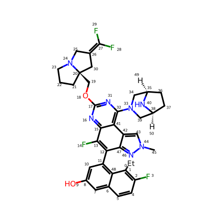 CCc1c(F)ccc2cc(O)cc(-c3c(F)c4nc(OC[C@@]56CCCN5CC(=C(F)F)C6)nc(N5C[C@H]6CC[C@@H](C5)N6)c4c4cn(C)nc34)c12